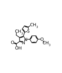 CCc1c(C(=O)O)nn(-c2ccc(OC)cc2)c1-c1ccc(C)s1